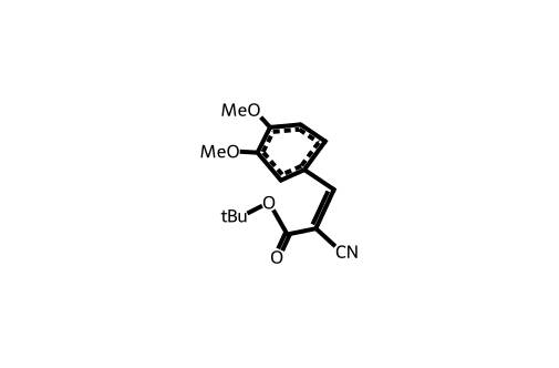 COc1ccc(C=C(C#N)C(=O)OC(C)(C)C)cc1OC